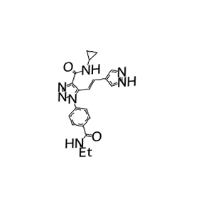 CCNC(=O)c1ccc(-n2nnc(C(=O)NC3CC3)c2C=Cc2cn[nH]c2)cc1